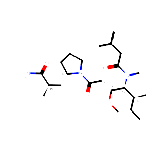 CC[C@H](C)[C@@H]([C@@H](CC(=O)N1CCC[C@H]1C[C@@H](C)C(N)=O)OC)N(C)C(=O)CC(C)C